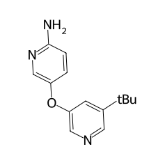 CC(C)(C)c1cncc(Oc2ccc(N)nc2)c1